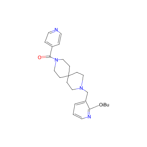 CC(C)COc1ncccc1CN1CCC2(CC1)CCN(C(=O)c1ccncc1)CC2